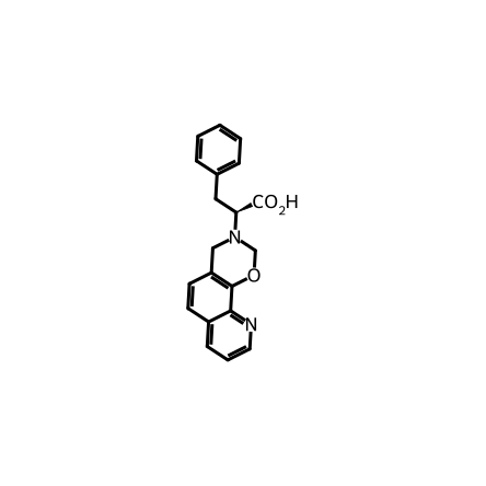 O=C(O)[C@H](Cc1ccccc1)N1COc2c(ccc3cccnc23)C1